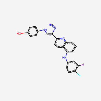 N=N/C(=C\Nc1ccc(O)cc1)c1ccc2c(Nc3ccc(F)c(I)c3)cccc2n1